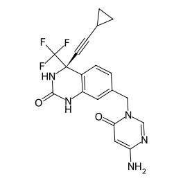 Nc1cc(=O)n(Cc2ccc3c(c2)NC(=O)N[C@]3(C#CC2CC2)C(F)(F)F)cn1